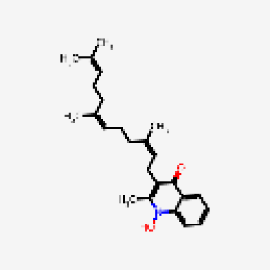 CC(C)=CCCC(C)=CCCC(C)=CCc1c(C)n(O)c2ccccc2c1=O